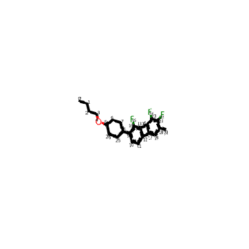 CCCCOC1CCC(c2ccc3c(c2F)-c2c-3cc(C)c(F)c2F)CC1